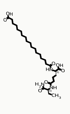 CC[C@H](NC(=O)CCC[C@H](NC(=O)CCCCCCCCCCCCCCCCC(=O)O)C(=O)O)C(N)=O